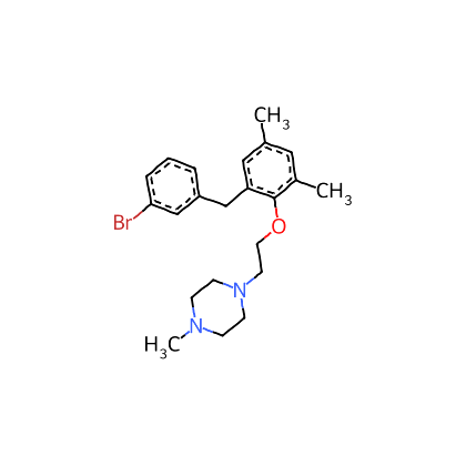 Cc1cc(C)c(OCCN2CCN(C)CC2)c(Cc2cccc(Br)c2)c1